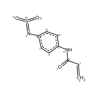 C=CC(=O)Nc1ccc(N=S(=O)=O)cc1